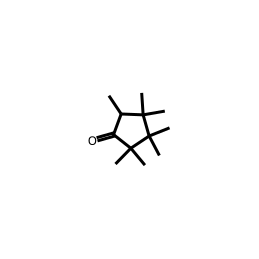 CC1C(=O)C(C)(C)C(C)(C)C1(C)C